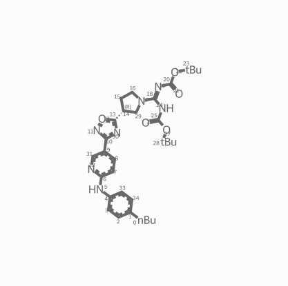 CCCCc1ccc(Nc2ccc(-c3noc([C@@H]4CCN(C(=NC(=O)OC(C)(C)C)NC(=O)OC(C)(C)C)C4)n3)cn2)cc1